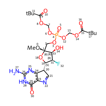 CO[C@]1(COP(=O)(OCOC(=O)C(C)(C)C)OCOC(=O)C(C)(C)C)O[C@@H](C2C=Nc3c2nc(N)[nH]c3=O)[C@H](F)[C@@H]1O